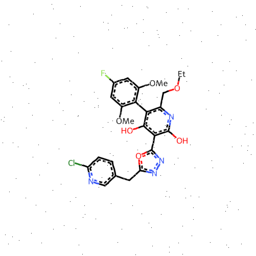 CCOCc1nc(O)c(-c2nnc(Cc3ccc(Cl)nc3)o2)c(O)c1-c1c(OC)cc(F)cc1OC